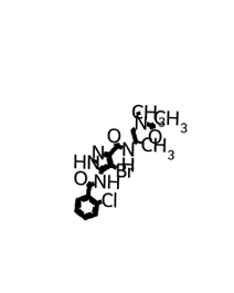 CC(=O)N(C)C[C@@H](C)NC(=O)c1n[nH]c(NC(=O)c2ccccc2Cl)c1Br